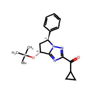 CC(C)(C)[Si](C)(C)O[C@@H]1C[C@@H](c2ccccc2)n2nc(C(=O)C3CC3)nc21